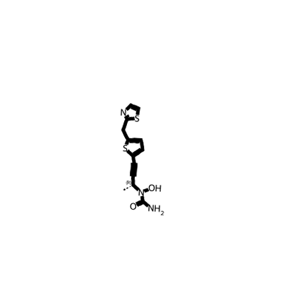 C[C@H](C#Cc1ccc(Cc2nccs2)s1)N(O)C(N)=O